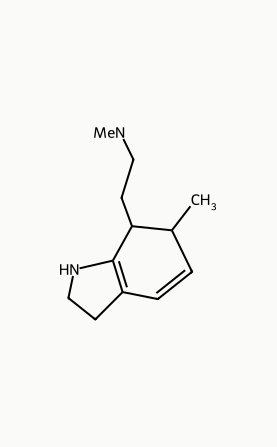 CNCCC1C2=C(C=CC1C)CCN2